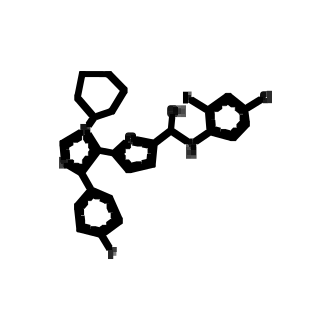 OC(Nc1ccc(Cl)cc1F)c1ccc(-c2c(-c3ccc(F)cc3)ncn2C2CCCCC2)o1